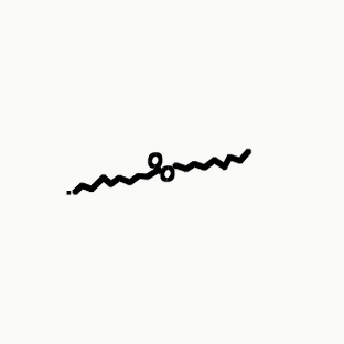 [CH2]CCCCCCCCC(=O)OCCCCCCCCC